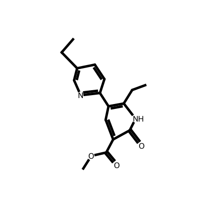 CCc1ccc(-c2cc(C(=O)OC)c(=O)[nH]c2CC)nc1